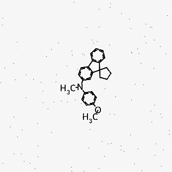 COc1ccc(N(C)c2ccc3c(c2)C2(CCCC2)c2ccccc2-3)cc1